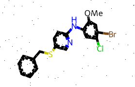 COc1cc(Br)c(Cl)cc1Nc1ccc(SCc2ccccc2)cn1